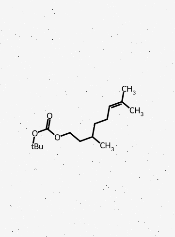 CC(C)=CCCC(C)CCOC(=O)OC(C)(C)C